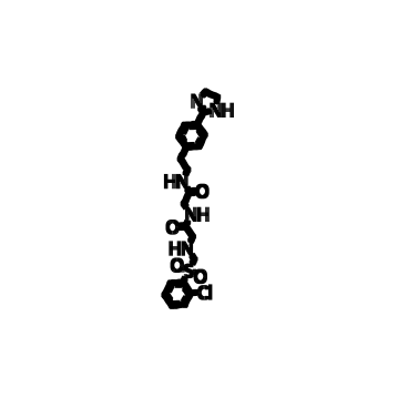 O=C(CNCS(=O)(=O)c1ccccc1Cl)NCC(=O)NCCc1ccc(C2=NCCN2)cc1